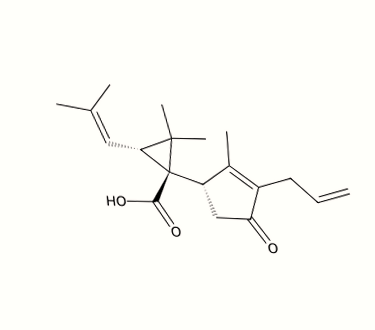 C=CCC1=C(C)[C@@H]([C@]2(C(=O)O)[C@H](C=C(C)C)C2(C)C)CC1=O